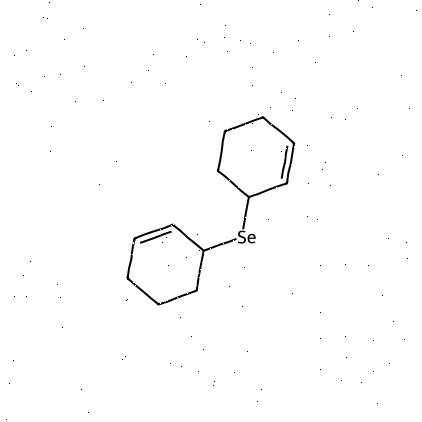 C1=CC([Se]C2C=CCCC2)CCC1